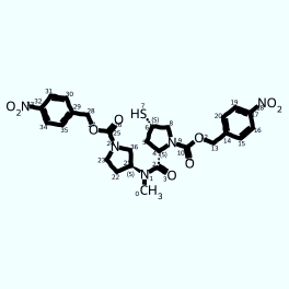 CN(C(=O)[C@@H]1C[C@H](S)CN1C(=O)OCc1ccc([N+](=O)[O-])cc1)[C@H]1CCN(C(=O)OCc2ccc([N+](=O)[O-])cc2)C1